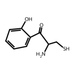 NC(CS)C(=O)c1ccccc1O